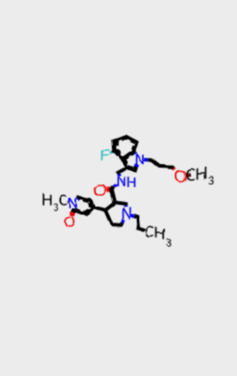 CCCN1CCC(c2ccn(C)c(=O)c2)C(C(=O)NCc2cn(CCCOC)c3cccc(F)c23)C1